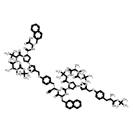 C[C@@H](C(=O)N[C@H](C(=O)N1C[C@@H](n2cc(COc3ccc(C[C@@H](C#N)NC(=O)[C@H](Cc4ccc5ccccc5c4)NC(=O)[C@@H]4C[C@H](n5cc(COc6ccc(C[C@H](N)C(=O)OC(C)(C)C)cc6)nn5)CN4C(=O)[C@@H](NC(=O)[C@H](C)N(C)C(=O)OC(C)(C)C)C(C)(C)C)cc3)nn2)C[C@H]1C(=O)N[C@@H](Cc1ccc2ccccc2c1)C(=O)O)C(C)(C)C)N(C)C(=O)OC(C)(C)C